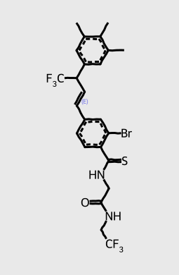 Cc1cc(C(/C=C/c2ccc(C(=S)NCC(=O)NCC(F)(F)F)c(Br)c2)C(F)(F)F)cc(C)c1C